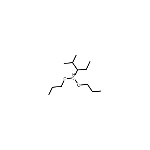 CCCO[SiH](OCCC)C(CC)C(C)C